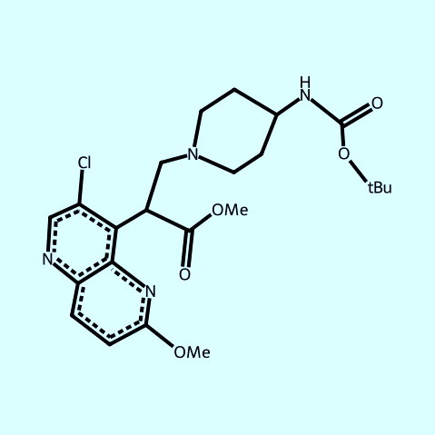 COC(=O)C(CN1CCC(NC(=O)OC(C)(C)C)CC1)c1c(Cl)cnc2ccc(OC)nc12